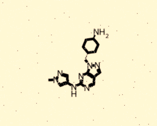 Cn1cc(Nc2ncc3cnn(C[C@H]4CC[C@H](N)CC4)c3n2)cn1